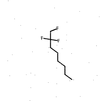 [CH2]CCCC[CH]C(F)(F)CF